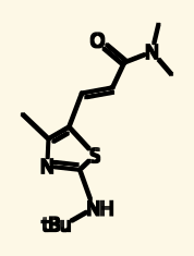 Cc1nc(NC(C)(C)C)sc1C=CC(=O)N(C)C